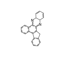 C1=CC2N=c3c4c(c5ccccc5c3=NC2C=C1)-c1ccccc1C4